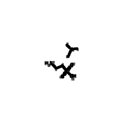 CN(C)C.NCCS(=O)(=O)O